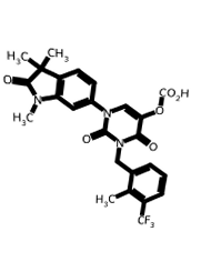 Cc1c(Cn2c(=O)c(OC(=O)O)cn(-c3ccc4c(c3)N(C)C(=O)C4(C)C)c2=O)cccc1C(F)(F)F